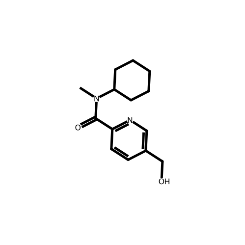 CN(C(=O)c1ccc(CO)cn1)C1CCCCC1